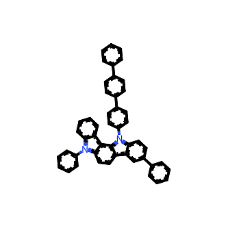 c1ccc(-c2ccc(-c3ccc(-n4c5ccc(-c6ccccc6)cc5c5ccc6c(c7ccccc7n6-c6ccccc6)c54)cc3)cc2)cc1